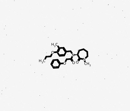 CCCOc1ccc(CN(C(=O)COc2ccccc2)[C@H]2CCCCN(C)C2=O)cc1C